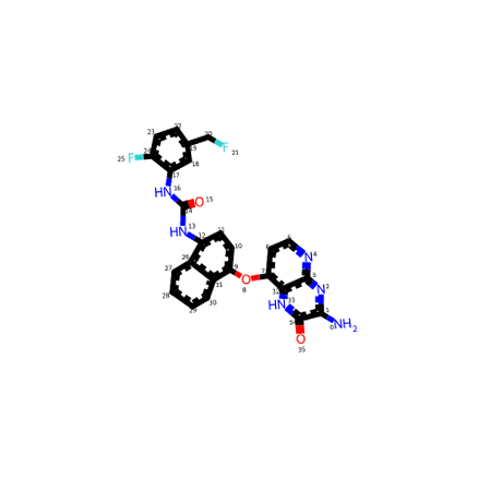 Nc1nc2nccc(Oc3ccc(NC(=O)Nc4cc(CF)ccc4F)c4ccccc34)c2[nH]c1=O